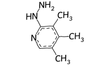 Cc1cnc(NN)c(C)c1C